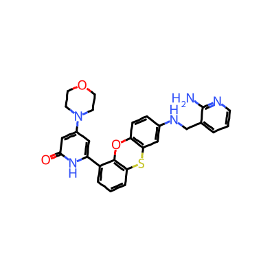 Nc1ncccc1CNc1ccc2c(c1)Sc1cccc(-c3cc(N4CCOCC4)cc(=O)[nH]3)c1O2